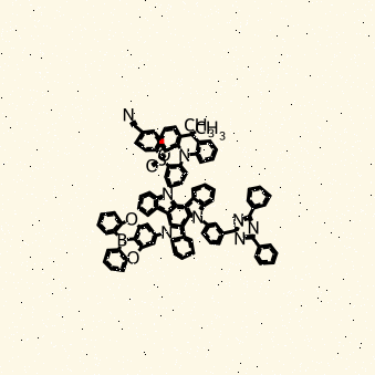 CC1(C)c2ccccc2N(c2ccc(-n3c4ccccc4c4c5c(c6ccccc6n5-c5cc6c7c(c5)Oc5ccccc5B7c5ccccc5O6)c5c(c6ccccc6n5-c5cccc(-c6nc(-c7ccccc7)nc(-c7ccccc7)n6)c5)c43)cc2S(=O)(=O)c2ccc(C#N)cc2)c2ccccc21